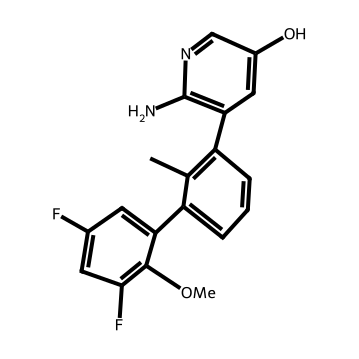 COc1c(F)cc(F)cc1-c1cccc(-c2cc(O)cnc2N)c1C